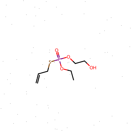 C=CCSP(=O)(OCC)OCCO